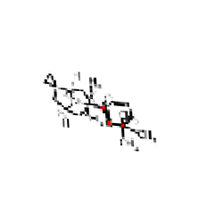 CC(C)(C)OC(=O)N1C[C@H]2CC3(CC3)[C@@H](C1)N2C(C)(C)c1ccccc1